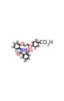 O=C(O)c1ccc(OCCOc2ccccc2NC(=O)c2ccccc2O)cc1